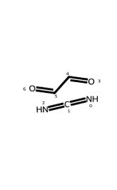 N=C=N.O=CC=O